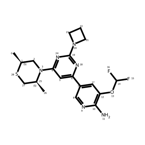 C[C@H]1CN(c2cc(-c3cnc(N)c(OC(F)F)c3)nc(N3CCC3)n2)[C@@H](C)CS1